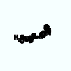 CC(=O)NCc1ccc(C(=O)CCCN2CCN(c3nsc4ccccc34)CC2)s1